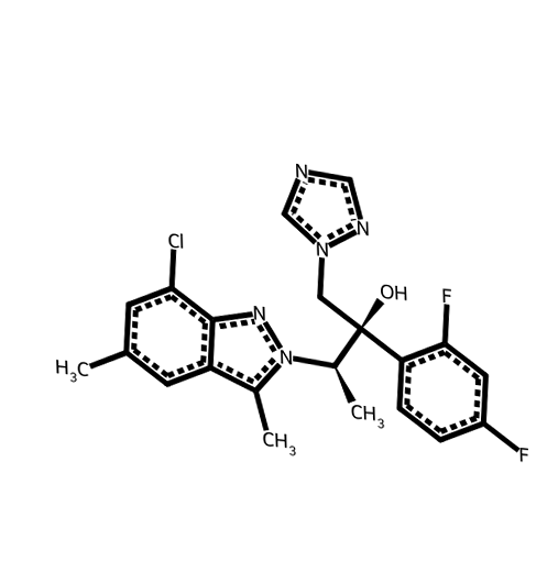 Cc1cc(Cl)c2nn([C@H](C)[C@](O)(Cn3cncn3)c3ccc(F)cc3F)c(C)c2c1